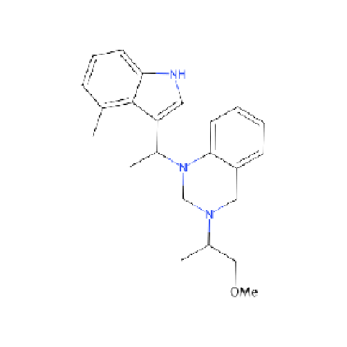 COCC(C)N1Cc2ccccc2N(C(C)c2c[nH]c3cccc(C)c23)C1